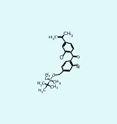 C=C(C)c1ccc(C(=O)c2ccc(CO[Si](C)(C)C(C)(C)C)cc2Br)c(Cl)c1